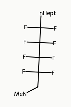 CCCCCCCC(F)(F)C(F)(F)C(F)(F)C(F)(F)CNC